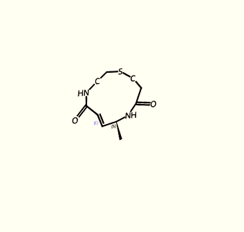 C[C@H]1/C=C/C(=O)NCCSCCC(=O)N1